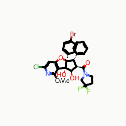 COc1nc(Cl)cc2c1[C@]1(O)[C@H](O)[C@H](C(=O)N3CCC(F)(F)C3)[C@@H](c3ccccc3)[C@]1(c1ccc(Br)cc1)O2